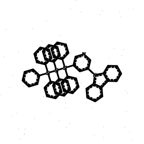 c1ccc([Si](c2ccccc2)(c2ccccc2)[Si](c2ccccc2)(c2ccccc2)[Si](c2ccccc2)(c2ccccc2)c2cncc(-n3c4ccccc4c4ccccc43)c2)cc1